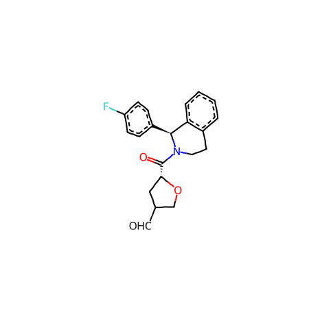 O=CC1CO[C@@H](C(=O)N2CCc3ccccc3[C@@H]2c2ccc(F)cc2)C1